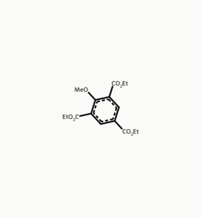 [CH2]Oc1c(C(=O)OCC)cc(C(=O)OCC)cc1C(=O)OCC